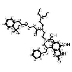 CCN(CC)CCN(CCN(CC(Cc1ccccc1)c1ccc(O)c2[nH]c(=O)sc12)C(=O)O)C(=O)CCOCCc1ccccc1C(F)(F)F